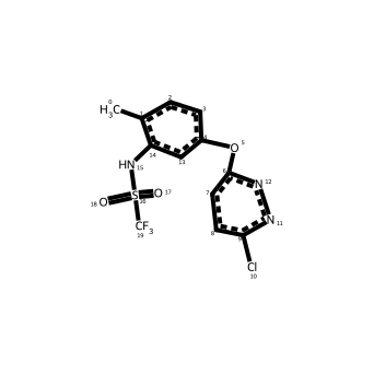 Cc1ccc(Oc2ccc(Cl)nn2)cc1NS(=O)(=O)C(F)(F)F